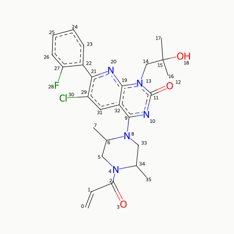 C=CC(=O)N1CC(C)N(c2nc(=O)n(CC(C)(C)O)c3nc(-c4ccccc4F)c(Cl)cc23)CC1C